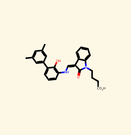 Cc1cc(C)cc(-c2cccc(NC=C3C(=O)N(CCCC(=O)O)c4ccccc43)c2O)c1